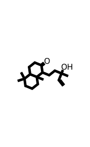 C=CC(C)(O)CCC1C(=O)CCC2C(C)(C)CCCC12C